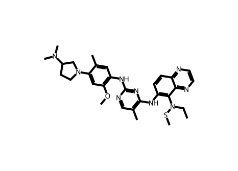 CCN(SC)c1c(Nc2nc(Nc3cc(C)c(N4CCC(N(C)C)C4)cc3OC)ncc2C)ccc2nccnc12